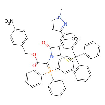 CC(=O)OC(c1ccn(C)n1)C1C(=O)N(C(C(=O)OCc2ccc([N+](=O)[O-])cc2)=P(c2ccccc2)(c2ccccc2)c2ccccc2)C1SC(c1ccccc1)(c1ccccc1)c1ccccc1